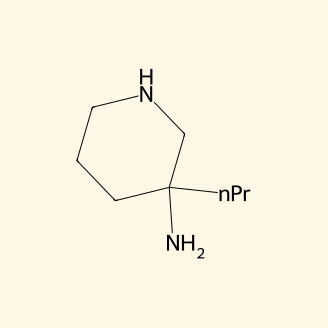 CCCC1(N)CCCNC1